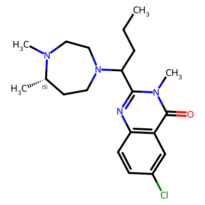 CCCC(c1nc2ccc(Cl)cc2c(=O)n1C)N1CC[C@H](C)N(C)CC1